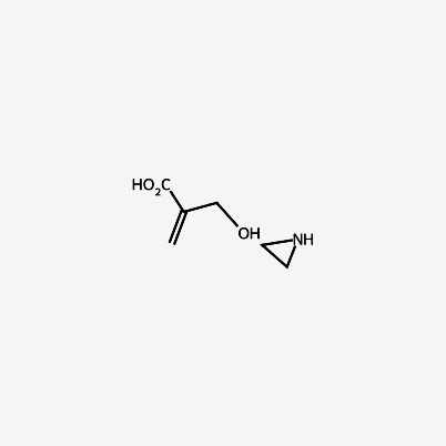 C1CN1.C=C(CO)C(=O)O